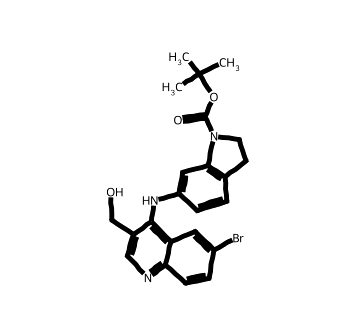 CC(C)(C)OC(=O)N1CCc2ccc(Nc3c(CO)cnc4ccc(Br)cc34)cc21